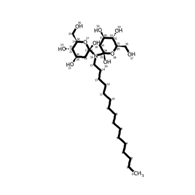 CCCCCCCCCCCCCCCCN([C@]1(O)C[C@@H](O)[C@H](O)[C@@H](CO)O1)[C@]1(O)C[C@@H](O)[C@H](O)[C@@H](CO)O1